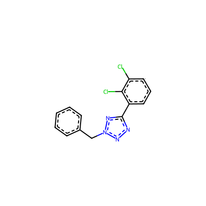 Clc1[c]ccc(-c2nnn(Cc3ccccc3)n2)c1Cl